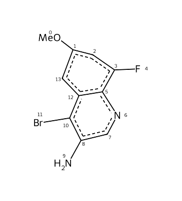 COc1cc(F)c2ncc(N)c(Br)c2c1